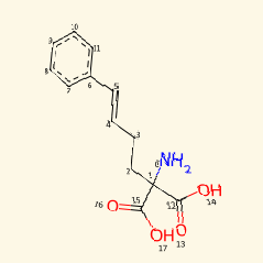 NC(CCC=Cc1ccccc1)(C(=O)O)C(=O)O